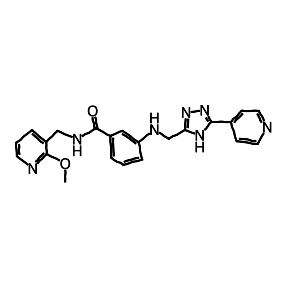 COc1ncccc1CNC(=O)c1cccc(NCc2nnc(-c3ccncc3)[nH]2)c1